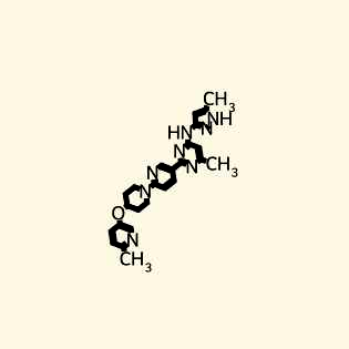 Cc1ccc(OC2CCN(c3ccc(-c4nc(C)cc(Nc5cc(C)[nH]n5)n4)cn3)CC2)cn1